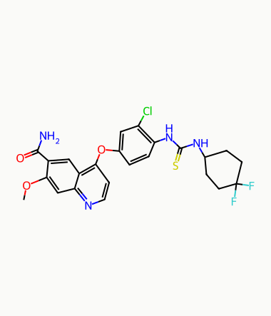 COc1cc2nccc(Oc3ccc(NC(=S)NC4CCC(F)(F)CC4)c(Cl)c3)c2cc1C(N)=O